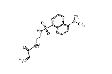 C=CC(=O)NCCNS(=O)(=O)c1cccc2c(N(C)C)cccc12